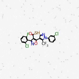 O=C(S)c1c(-c2c(F)cccc2Cl)noc1-c1cnn(-c2cccc(Cl)c2)c1C(F)(F)F